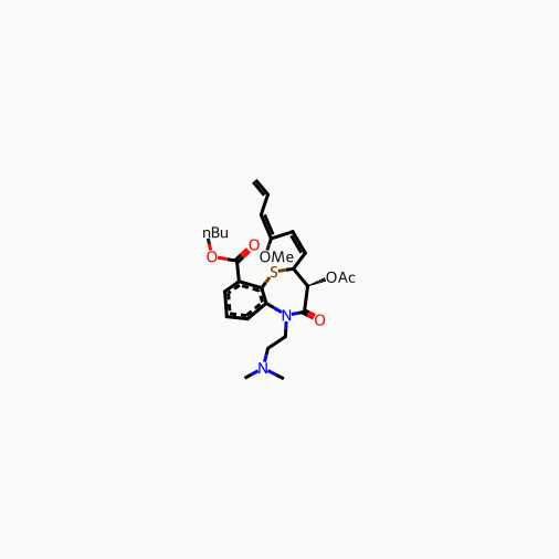 C=C/C=C(\C=C/C1Sc2c(C(=O)OCCCC)cccc2N(CCN(C)C)C(=O)[C@@H]1OC(C)=O)OC